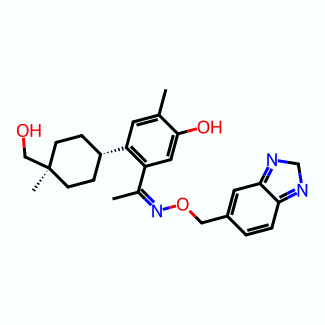 CC(=NOCc1ccc2c(c1)=NCN=2)c1cc(O)c(C)cc1[C@H]1CC[C@](C)(CO)CC1